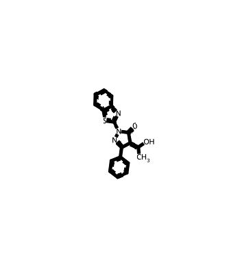 C/C(O)=C1/C(=O)N(c2nc3ccccc3s2)N=C1c1ccccc1